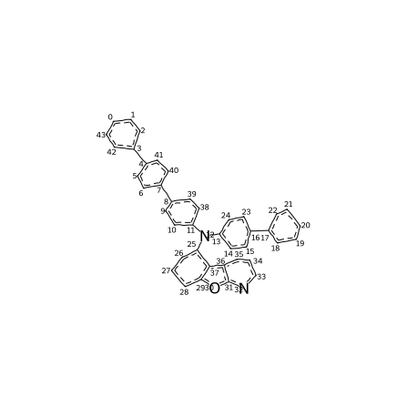 c1ccc(-c2ccc(-c3ccc(N(c4ccc(-c5ccccc5)cc4)c4cccc5oc6ncccc6c45)cc3)cc2)cc1